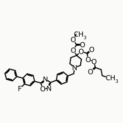 CCCC(=O)OOC(=O)OC1(OC(=O)OC)CCN(Cc2ccc(-c3noc(-c4ccc(-c5ccccc5)c(F)c4)n3)cc2)CC1